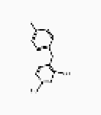 Cc1ccc(Cc2ccc(O)cc2O)cc1